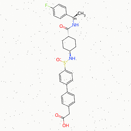 C[C@@H](NC(=O)[C@H]1CC[C@H](N[S+]([O-])c2ccc(-c3ccc(CC(=O)O)cc3)cc2)CC1)c1ccc(F)cc1